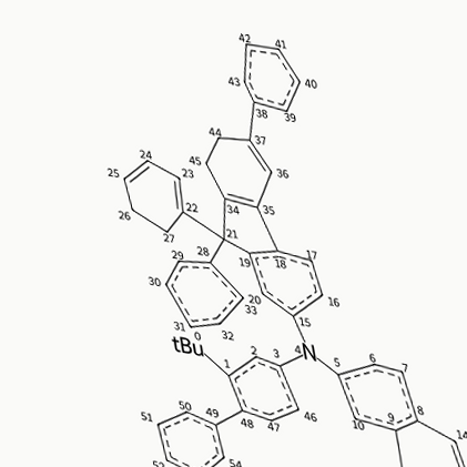 CC(C)(C)c1cc(N(c2ccc3c(c2)CCC=C3)c2ccc3c(c2)C(C2=CC=CCC2)(c2ccccc2)C2=C3C=C(c3ccccc3)CC2)ccc1-c1ccccc1